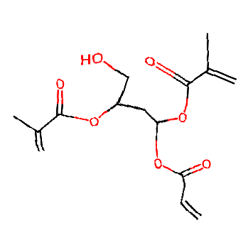 C=CC(=O)OC(OC(=O)C(=C)C)C(CO)OC(=O)C(=C)C